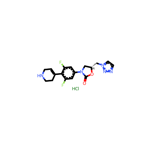 Cl.O=C1O[C@@H](Cn2ccnn2)CN1c1cc(F)c(C2=CCNCC2)c(F)c1